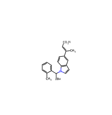 CCCCC(c1ccccc1C)n1ccc2cc(C(C)=CC(=O)O)ccc21